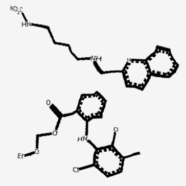 CCOCOC(=O)c1ccccc1Nc1c(Cl)ccc(C)c1Cl.O=C(O)NCCCCNCc1ccc2ccccc2n1